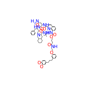 COc1ccc(CCCc2cccc(OCCNC(=O)CCCOC(=O)Nc3cccc4ccc(C(=O)N[C@H](CC(N)=O)C(=O)NC(CCN5CC6CCCCC6CC5C(=O)NC(C)(C)C)Cc5ccccc5)nc34)c2)cc1OC